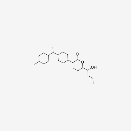 CCCC(O)C1CCC(C2CCC(C(C)C3CCC(C)CC3)CC2)C(=O)O1